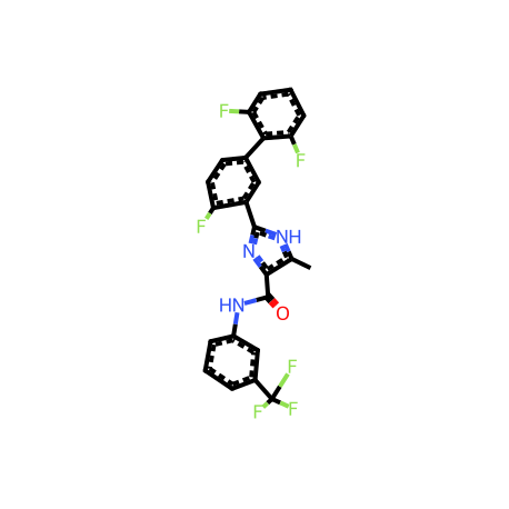 Cc1[nH]c(-c2cc(-c3c(F)cccc3F)ccc2F)nc1C(=O)Nc1cccc(C(F)(F)F)c1